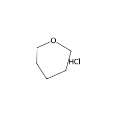 C1CCOCC1.Cl